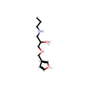 CCCNCC(O)COCc1ccoc1